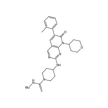 Cc1ccccc1-c1cc2cnc(NC3CCN(C(=S)NC(C)(C)C)CC3)nc2n(C2CCOCC2)c1=O